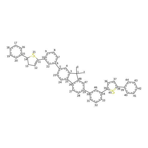 CC1(C)c2cc(-c3cccc(C4=CCC(c5ccccc5)S4)c3)ccc2-c2ccc(-c3cccc(-c4ccc(-c5ccccc5)s4)c3)cc21